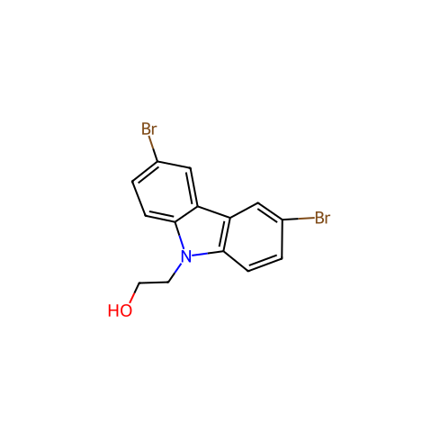 OCCn1c2ccc(Br)cc2c2cc(Br)ccc21